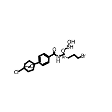 O=C(N[C@@H](CCCBr)OBO)c1ccc(C23CCC(Cl)(CC2)CC3)cc1